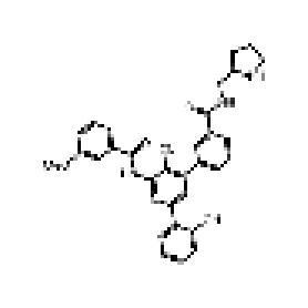 COc1cccc(C(=O)Nc2nc(-c3ccccc3O)cc(-c3cccc(C(=O)NCC4CCCN4)c3)c2C#N)c1